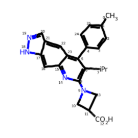 Cc1ccc(-c2c(C(C)C)c(N3CC(C(=O)O)C3)nc3cc4[nH]ncc4cc23)cc1